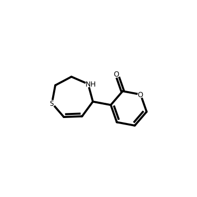 O=c1occcc1C1C=CSCCN1